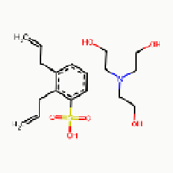 C=CCc1cccc(S(=O)(=O)O)c1CC=C.OCCN(CCO)CCO